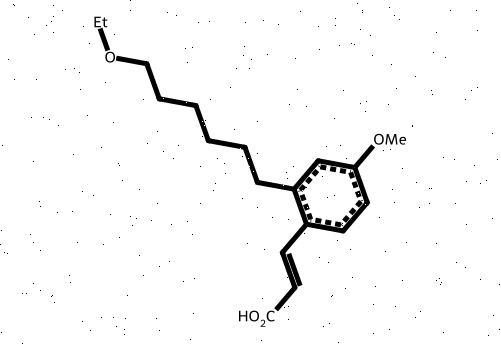 CCOCCCCCCc1cc(OC)ccc1C=CC(=O)O